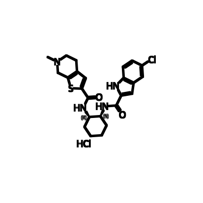 CN1CCc2cc(C(=O)N[C@@H]3CCCC[C@@H]3NC(=O)c3cc4cc(Cl)ccc4[nH]3)sc2C1.Cl